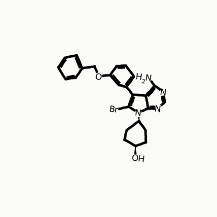 Nc1ncnc2c1c(-c1cccc(OCc3ccccc3)c1)c(Br)n2[C@H]1CC[C@H](O)CC1